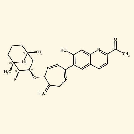 C=C1CN=C(c2cc3ccc(C(C)=O)nc3cc2O)C=CC1O[C@@H]1C[C@@]2(C)CCC[C@](C)(N2)[C@@H]1F